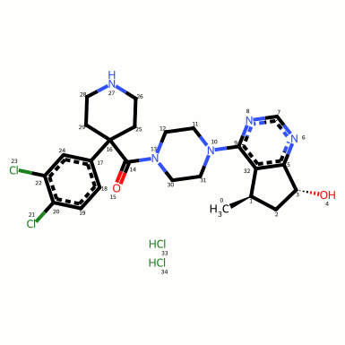 C[C@@H]1C[C@@H](O)c2ncnc(N3CCN(C(=O)C4(c5ccc(Cl)c(Cl)c5)CCNCC4)CC3)c21.Cl.Cl